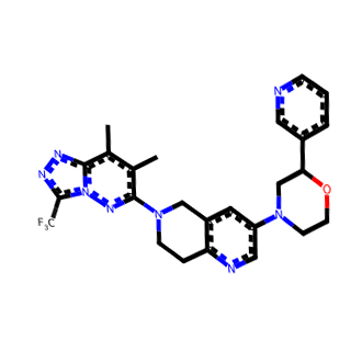 Cc1c(N2CCc3ncc(N4CCOC(c5cccnc5)C4)cc3C2)nn2c(C(F)(F)F)nnc2c1C